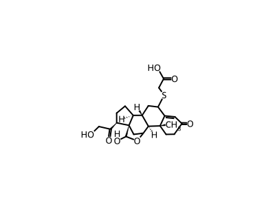 C[C@]12CCC(=O)C=C1C(SCC(=O)O)C[C@H]1[C@@H]3CC[C@H](C(=O)CO)[C@@]34CC(OC4O)[C@@H]12